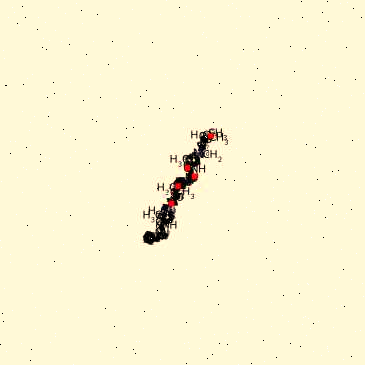 C=C/C(=N\N1CC[C@H](NC(=O)c2ncn(Cc3cccc(C(C)(C)OC(=O)N4CC(/C(C=C)=N/N5CC[C@@H](NC(=O)c6ncn(Cc7ccccc7)n6)C(=O)N(C)C5)C4)c3)n2)C(=O)N(C)C1)C1CN(C(=O)OC(C)(C)C)C1